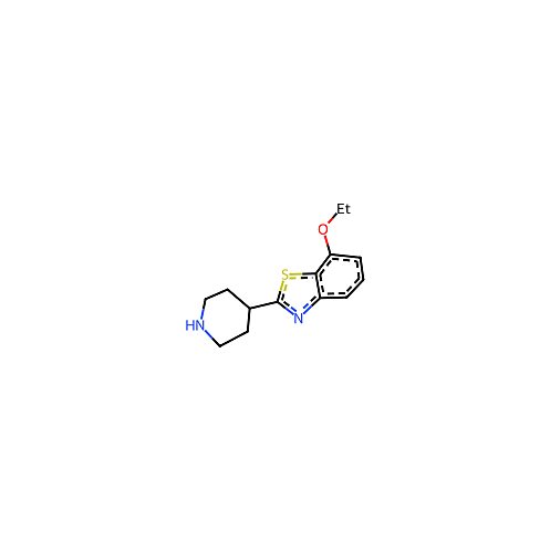 CCOc1cccc2nc(C3CCNCC3)sc12